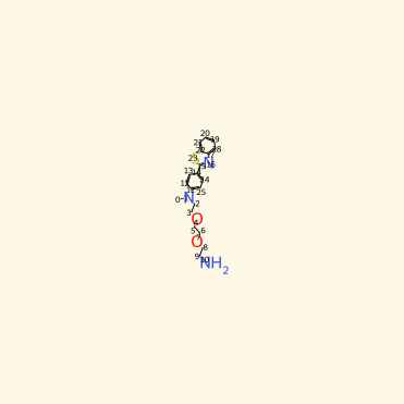 CN(CCOCCOCCN)c1ccc(-c2nc3ccccc3s2)cc1